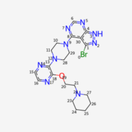 Brc1n[nH]c2ncnc(N3CCN(c4nccnc4OCCN4CCCCC4)CC3)c12